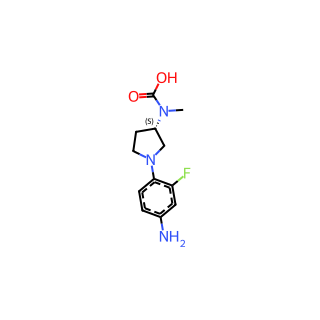 CN(C(=O)O)[C@H]1CCN(c2ccc(N)cc2F)C1